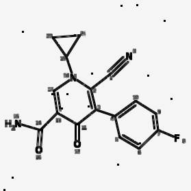 N#Cc1c(-c2ccc(F)cc2)c(=O)c(C(N)=O)cn1C1CC1